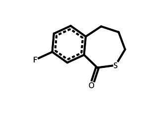 O=C1SCCCc2ccc(F)cc21